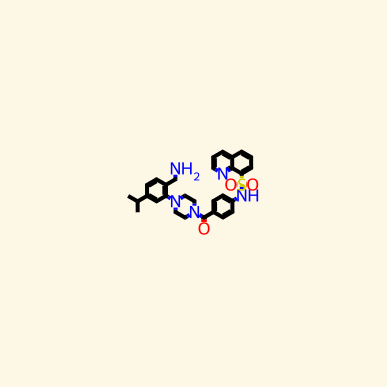 CC(C)c1ccc(CN)c(N2CCN(C(=O)c3ccc(NS(=O)(=O)c4cccc5cccnc45)cc3)CC2)c1